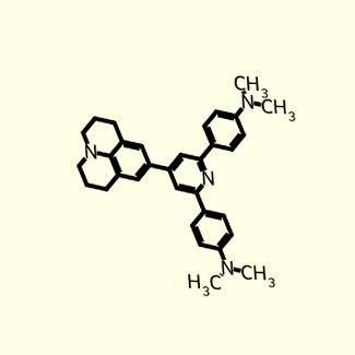 CN(C)c1ccc(-c2cc(-c3cc4c5c(c3)CCCN5CCC4)cc(-c3ccc(N(C)C)cc3)n2)cc1